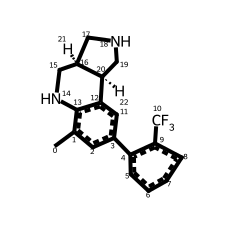 Cc1cc(-c2ccccc2C(F)(F)F)cc2c1NC[C@H]1CNC[C@@H]21